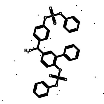 CC(c1ccc(OS(=O)(=O)Oc2ccccc2)cc1)c1ccc(OS(=O)(=O)Oc2ccccc2)c(-c2ccccc2)c1